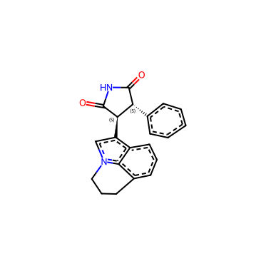 O=C1NC(=O)[C@H](c2cn3c4c(cccc24)CCC3)[C@H]1c1ccccc1